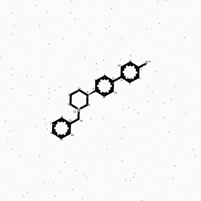 Fc1ccc(-c2ccc([C@@H]3CCCN(Cc4ccccc4)C3)cc2)cc1